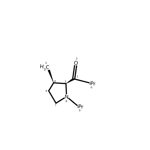 CC(C)C(=O)[C@@H]1[C@H](C)CCN1C(C)C